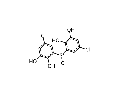 [O-][S+](c1cc(Cl)cc(O)c1O)c1cc(Cl)cc(O)c1O